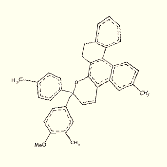 COc1ccc(C2(c3ccc(C)cc3)C=Cc3c(c4c(c5ccc(C)cc35)-c3ccccc3CC4)O2)cc1C